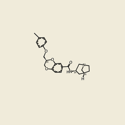 Cc1ccc(OC[C@@H]2COc3ccc(C(=O)N[C@@H]4C[C@H]5CCN(C5)C4)cc3O2)cc1